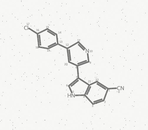 N#Cc1ccc2[nH]cc(-c3cncc(-c4ccc(Cl)cc4)c3)c2c1